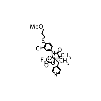 COCCCSc1ccc(N2C(=O)C(C)(C)[N+](Cc3ccncc3)(OC(=O)C(F)(F)F)C2=O)cc1Cl